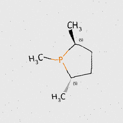 C[C@H]1CC[C@H](C)P1C